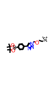 CC1(C)OB(c2ccc(-c3cn(COCC[Si](C)(C)C)nn3)cc2)OC1(C)C